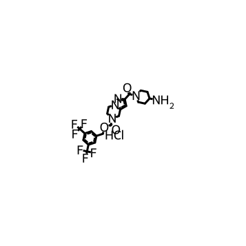 Cl.NC1CCN(C(=O)c2cc3n(n2)CCN(C(=O)OCc2cc(C(F)(F)F)cc(C(F)(F)F)c2)C3)CC1